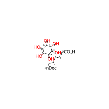 CCCCCCCCCCCCCCCC(=O)O.OC1C(O)C(O)C(O)C(O)C1O